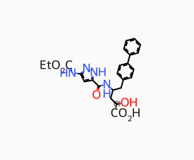 CCOC(=O)Nc1cc(C(=O)NC(Cc2ccc(-c3ccccc3)cc2)C[C@@H](O)C(=O)O)[nH]n1